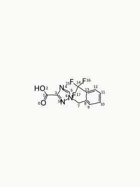 O=C(O)c1ncn(Cc2ccccc2C(F)(F)F)n1